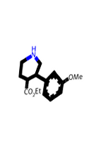 CCOC(=O)C1CCNCC1c1cccc(OC)c1